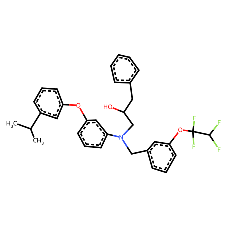 CC(C)c1cccc(Oc2cccc(N(Cc3cccc(OC(F)(F)C(F)F)c3)CC(O)Cc3ccccc3)c2)c1